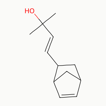 CC(C)(O)C=CC1CC2C=CC1C2